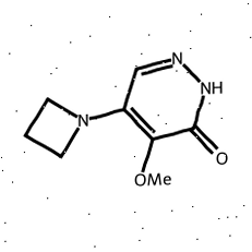 COc1c(N2CCC2)cn[nH]c1=O